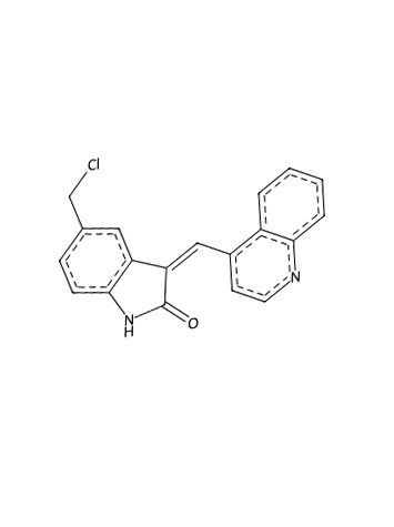 O=C1Nc2ccc(CCl)cc2C1=Cc1ccnc2ccccc12